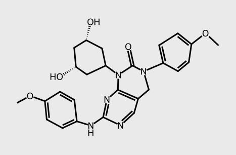 COc1ccc(Nc2ncc3c(n2)N(C2C[C@@H](O)C[C@@H](O)C2)C(=O)N(c2ccc(OC)cc2)C3)cc1